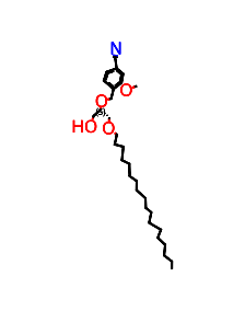 CCCCCCCCCCCCCCCCCCOC[C@H](CO)OCc1ccc(C#N)cc1OC